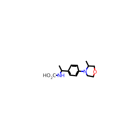 CC(NC(=O)O)c1ccc(N2CCOCC2C)cc1